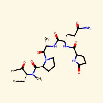 CC(C)C[C@H](C(=O)C(C)C)N(C)C(=O)[C@@H]1CCCN1C(=O)[C@H](C)NC(=O)[C@H](CCC(N)=O)NC(=O)C1CCC(=O)N1